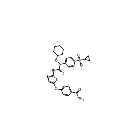 NC(=O)c1ccc(Oc2cnc(NC(=O)C(OC3CCCCC3)c3ccc(S(=O)(=O)C4CC4)cc3)s2)cc1